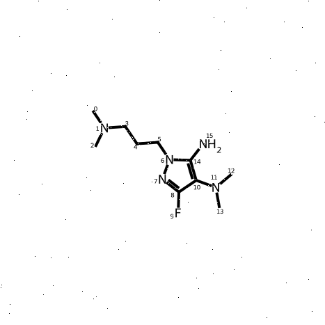 CN(C)CCCn1nc(F)c(N(C)C)c1N